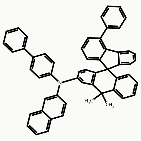 CC1(C)c2ccccc2C2(c3ccccc3-c3c(-c4ccccc4)cccc32)c2ccc(N(c3ccc(-c4ccccc4)cc3)c3ccc4ccccc4c3)cc21